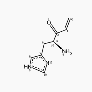 C=CC(=O)[C@@H](N)Cc1c[nH]cn1